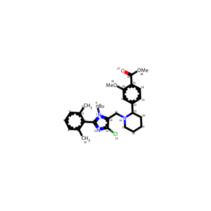 CCCCn1c(-c2c(C)cccc2C)nc(Cl)c1CN1CCCCC1c1ccc(C(=O)OC)c(OC)c1